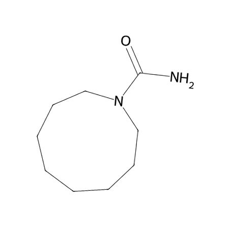 NC(=O)N1CCCCCCCC1